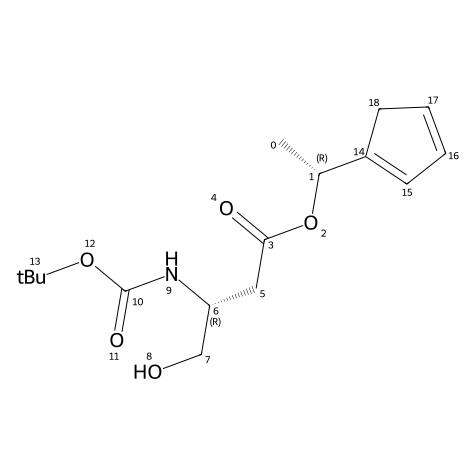 C[C@@H](OC(=O)C[C@H](CO)NC(=O)OC(C)(C)C)C1=CC=CC1